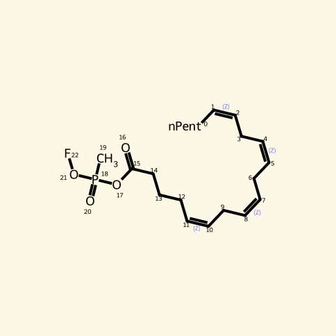 CCCCC/C=C\C/C=C\C/C=C\C/C=C\CCCC(=O)OP(C)(=O)OF